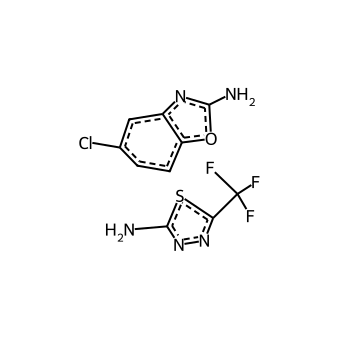 Nc1nc2cc(Cl)ccc2o1.Nc1nnc(C(F)(F)F)s1